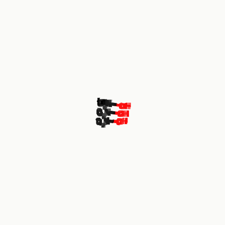 O=[N+]([O-])O.O=[N+]([O-])O.O=[N+]([O-])O.[La]